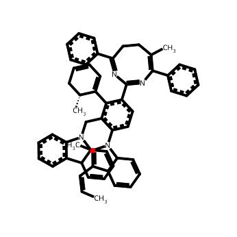 C/C=C\C1=C(C)N(c2ccc(C3=N/C(c4ccccc4)=C(/C)CC/C(c4ccccc4)=N\3)c(C3=CC=CC[C@H]3C)c2CN2c3ccccc3C3C=CC=CC32)C2C=CC=CC12